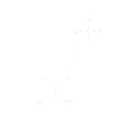 C=C(C)C(=O)OCCCCC(Br)(Br)Br